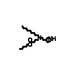 CCCCCCCCCN(CCCC(=O)OCCCCC)CCC1CCNC1